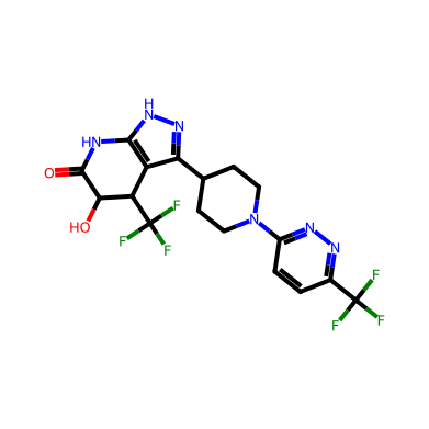 O=C1Nc2[nH]nc(C3CCN(c4ccc(C(F)(F)F)nn4)CC3)c2C(C(F)(F)F)C1O